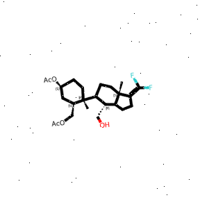 CC(=O)OC[C@H]1C[C@@H](OC(C)=O)CC[C@]1(C)C1CC[C@]2(C)C(=C(F)F)CCC2[C@@H]1CO